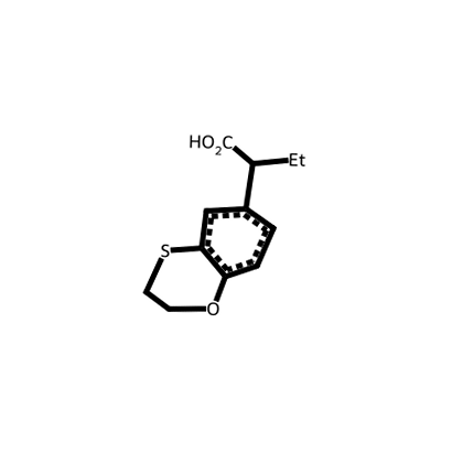 CCC(C(=O)O)c1ccc2c(c1)SCCO2